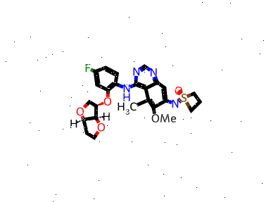 COc1c(N=S2(=O)CCC2)cc2ncnc(Nc3ccc(F)cc3O[C@@H]3CO[C@@H]4CCO[C@@H]43)c2c1C